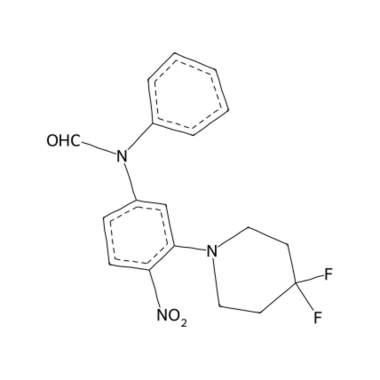 O=CN(c1ccccc1)c1ccc([N+](=O)[O-])c(N2CCC(F)(F)CC2)c1